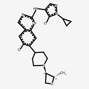 C[C@@H]1OC[C@H]1N1CCC(c2cc3nc(Nc4cnn(C5CC5)c4Cl)ncc3cc2Cl)CC1